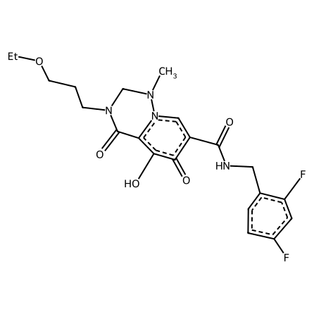 CCOCCCN1CN(C)n2cc(C(=O)NCc3ccc(F)cc3F)c(=O)c(O)c2C1=O